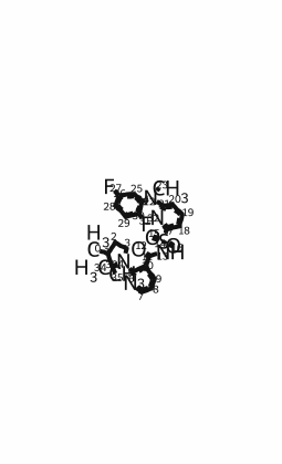 CC1CCN(c2ncccc2C(=O)NS(=O)(=O)c2cccc(N(C)c3cc(F)ccc3F)n2)C1(C)C